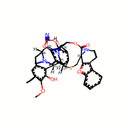 COc1c(C)cc2c(c1O)[C@H]1[C@@H]3[C@@H]4SC[C@]5(NCCc6c5oc5ccccc65)C(=O)OC[C@@H](c5c6c(c(C)c(C)c54)OCO6)N3[C@@H](C#N)[C@@H](C2)N1C